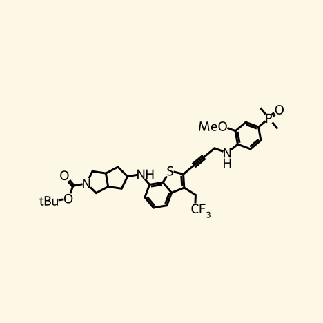 COc1cc(P(C)(C)=O)ccc1NCC#Cc1sc2c(NC3CC4CN(C(=O)OC(C)(C)C)CC4C3)cccc2c1CC(F)(F)F